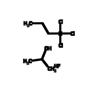 CC(C)O.CCC[Si](Cl)(Cl)Cl.F